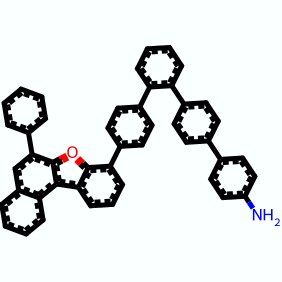 Nc1ccc(-c2ccc(-c3ccccc3-c3ccc(-c4cccc5c4oc4c(-c6ccccc6)cc6ccccc6c45)cc3)cc2)cc1